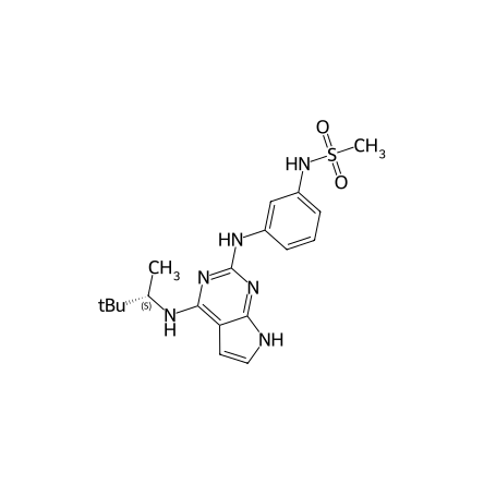 C[C@H](Nc1nc(Nc2cccc(NS(C)(=O)=O)c2)nc2[nH]ccc12)C(C)(C)C